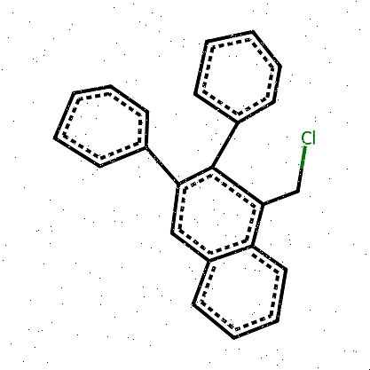 ClCc1c(-c2ccccc2)c(-c2ccccc2)cc2ccccc12